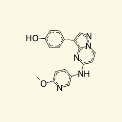 COc1ccc(Nc2ccn3ncc(-c4ccc(O)cc4)c3n2)cn1